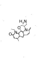 C=C1C=Cc2cc3c(C)cc(=O)n(CC)c3c3c2N1C(CN)CO3